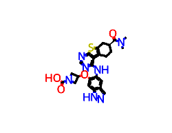 CN(C)C(=O)[C@H]1CCc2c(sc3ncnc(Nc4cc5cn[nH]c5cc4OC4CN(C(=O)O)C4)c23)C1